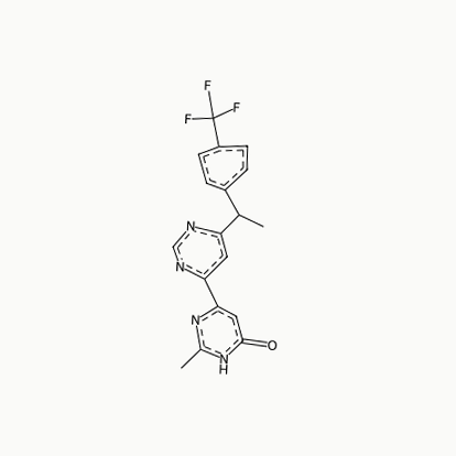 Cc1nc(-c2cc(C(C)c3ccc(C(F)(F)F)cc3)ncn2)cc(=O)[nH]1